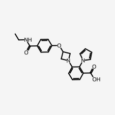 CCNC(=O)c1ccc(OC2CN(c3cccc(C(=O)O)c3-n3cccc3)C2)cc1